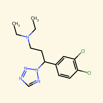 CCN(CC)CCC(c1ccc(Cl)c(Cl)c1)n1ncnn1